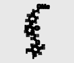 COCCN1CCN(c2nccn(CCOc3cc(F)c(F)cc3F)c2=O)CC1